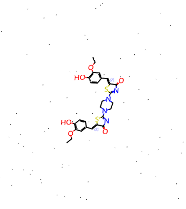 CCOc1cc(/C=C2\SC(N3CCN(C4=NC(=O)/C(=C/c5ccc(O)c(OCC)c5)S4)CC3)=NC2=O)ccc1O